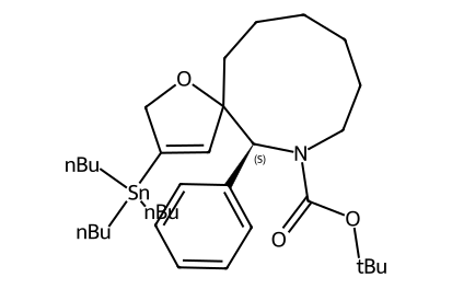 CCC[CH2][Sn]([CH2]CCC)([CH2]CCC)[C]1=CC2(CCCCCCN(C(=O)OC(C)(C)C)[C@H]2c2ccccc2)OC1